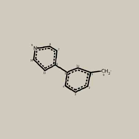 [CH2]c1cccc(-c2ccncc2)c1